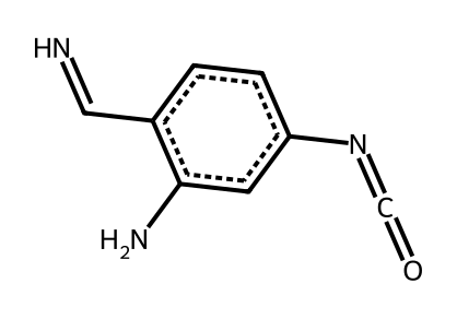 N=Cc1ccc(N=C=O)cc1N